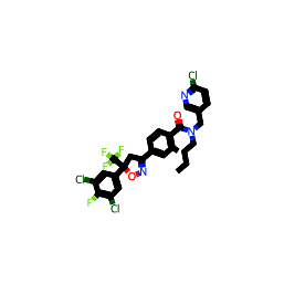 CCCCN(Cc1ccc(Cl)nc1)C(=O)c1ccc(C2=NOC(c3cc(Cl)c(F)c(Cl)c3)(C(F)(F)F)C2)cc1C